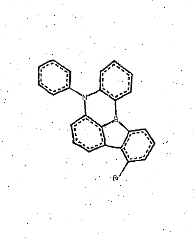 Brc1cccc2c1-c1cccc3c1B2c1ccccc1N3c1ccccc1